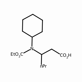 CCCC(CC(=O)O)N(C(=O)OCC)C1CCCCC1